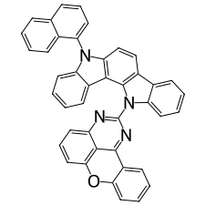 c1ccc2c(c1)Oc1cccc3nc(-n4c5ccccc5c5ccc6c(c7ccccc7n6-c6cccc7ccccc67)c54)nc-2c13